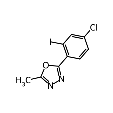 Cc1nnc(-c2ccc(Cl)cc2I)o1